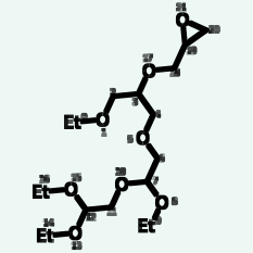 CCOCC(COCC(OCC)OCC(OCC)OCC)OCC1CO1